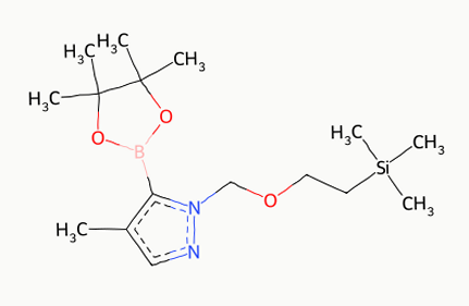 Cc1cnn(COCC[Si](C)(C)C)c1B1OC(C)(C)C(C)(C)O1